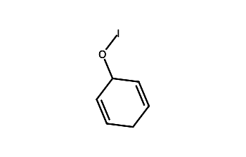 IOC1C=CCC=C1